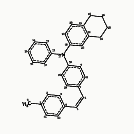 Cc1ccc(/C=C\c2ccc(N(c3ccccc3)c3ccc4c(c3)CCCC4)cc2)cc1